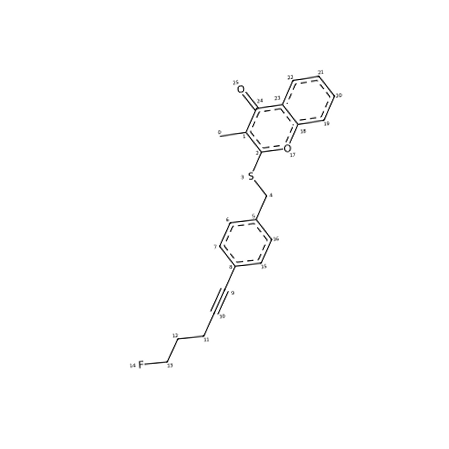 Cc1c(SCc2ccc(C#CCCCF)cc2)oc2ccccc2c1=O